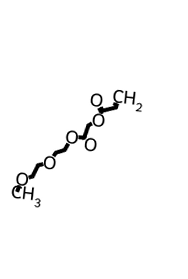 C=CC(=O)OCC(=O)OCCOCCOC